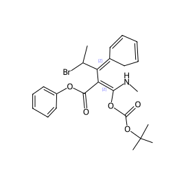 CN/C(OC(=O)OC(C)(C)C)=C(C(=O)Oc1ccccc1)\C(=C1\C=CC=CC1)C(C)Br